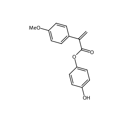 C=C(C(=O)Oc1ccc(O)cc1)c1ccc(OC)cc1